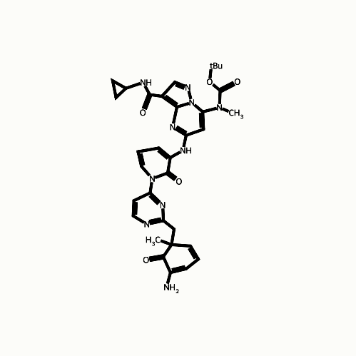 CN(C(=O)OC(C)(C)C)c1cc(Nc2cccn(-c3ccnc(CC4(C)C=CC=C(N)C4=O)n3)c2=O)nc2c(C(=O)NC3CC3)cnn12